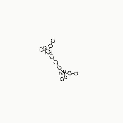 c1ccc(-c2ccc(-c3nc(-c4ccc(-c5ccc(-c6ccc(-c7nc(-c8ccc(-c9ccccc9)cc8)c8oc9ccccc9c8n7)cc6)cc5)cc4)nc4c3oc3ccccc34)cc2)cc1